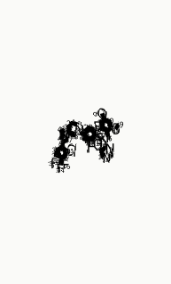 COc1ccc(CN(c2ccncn2)S(=O)(=O)c2c(F)cc(N3CCC[C@@](CCc4ccc(C(F)(F)F)cc4Cl)(N(C)C)C3)cc2F)c(OC)c1